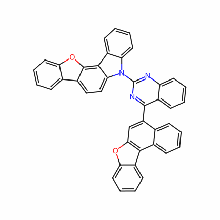 c1ccc2c(-c3cc4oc5ccccc5c4c4ccccc34)nc(-n3c4ccccc4c4c5oc6ccccc6c5ccc43)nc2c1